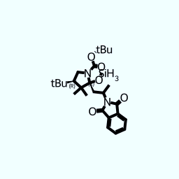 CC(C[C@]1(O[SiH3])N(C(=O)OC(C)(C)C)C[C@H](C(C)(C)C)C1(C)C)N1C(=O)c2ccccc2C1=O